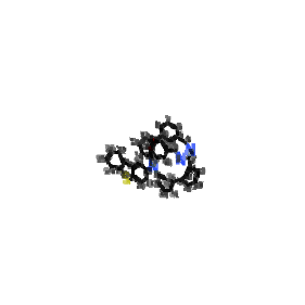 C(=N\C1=N/Cc2cccc(c2)-c2cccc(c2)N(c2ccc3sc4ccccc4c3c2)c2cccc(c2)-c2cccc1c2)/c1ccccc1